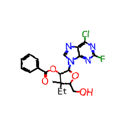 CCC1(C)C(CO)OC(n2cnc3c(Cl)nc(F)nc32)C1OC(=O)c1ccccc1